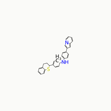 C/C=C(\C=C/CNc1ccc(-c2cc3ccccn3c2)cc1)C1CCc2ccccc2S1